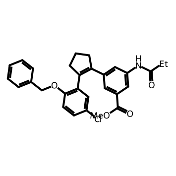 CCC(=O)Nc1cc(C(=O)OC)cc(C2=C(c3cc(Cl)ccc3OCc3ccccc3)CCC2)c1